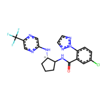 O=C(NC1CCC[C@@H]1Nc1cnc(C(F)(F)F)cn1)c1cc(Cl)ccc1-n1nccn1